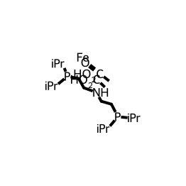 C=O.CC(=O)O.CC(=O)O.CC(C)P(CCNCCP(C(C)C)C(C)C)C(C)C.[Fe]